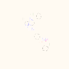 Bc1cnn2c(NCc3cccc(NS(=O)(=O)c4ccc(F)cc4F)c3)cc(-c3ccccc3Cl)nc12